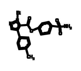 CCn1ncc(-c2ccc(C)cc2)c1C(=O)Oc1ccc(S(N)(=O)=O)cc1